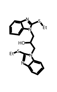 CCSc1nc2ccccc2n1CC(O)Cn1c(SCC)nc2ccccc21